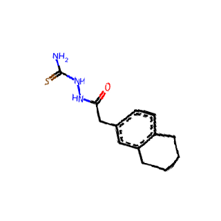 NC(=S)NNC(=O)Cc1ccc2c(c1)CCCC2